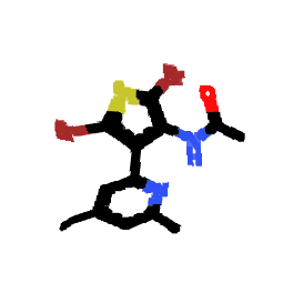 CC(=O)Nc1c(Br)sc(Br)c1-c1cc(C)cc(C)n1